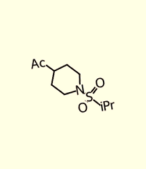 CC(=O)C1CCN(S(=O)(=O)C(C)C)CC1